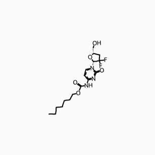 CCCCCCCOC(=O)Nc1ccn([C@@H]2O[C@H](CO)CC2(F)F)c(=O)n1